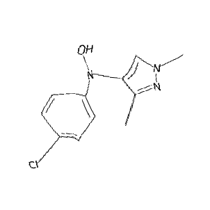 Cc1nn(C)cc1N(O)c1ccc(Cl)cc1